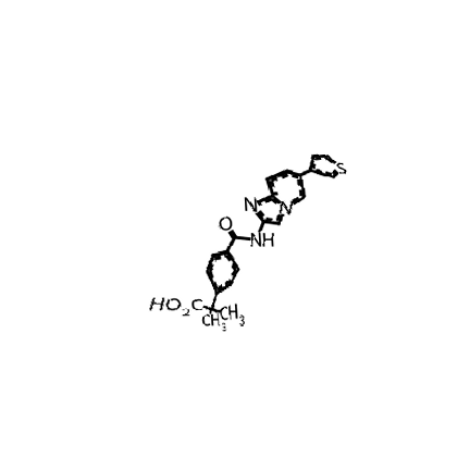 CC(C)(C(=O)O)c1ccc(C(=O)Nc2cn3cc(-c4ccsc4)ccc3n2)cc1